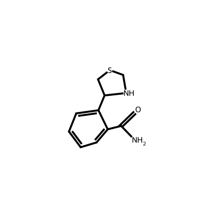 NC(=O)c1ccccc1C1CSCN1